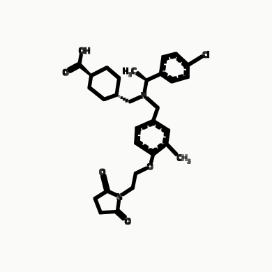 Cc1cc(CN(C[C@H]2CC[C@H](C(=O)O)CC2)[C@@H](C)c2ccc(Cl)cc2)ccc1OCCN1C(=O)CCC1=O